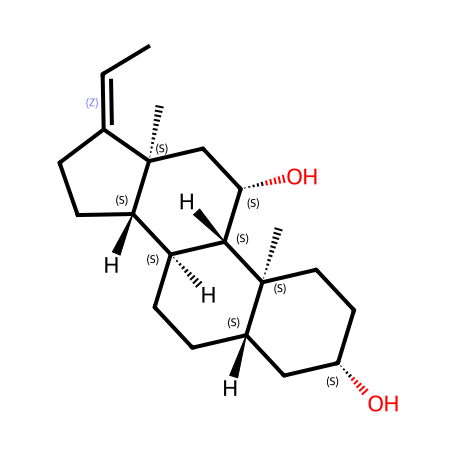 C/C=C1/CC[C@H]2[C@@H]3CC[C@H]4C[C@@H](O)CC[C@]4(C)[C@H]3[C@@H](O)C[C@]12C